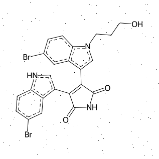 O=C1NC(=O)C(c2cn(CCCO)c3ccc(Br)cc23)=C1c1c[nH]c2ccc(Br)cc12